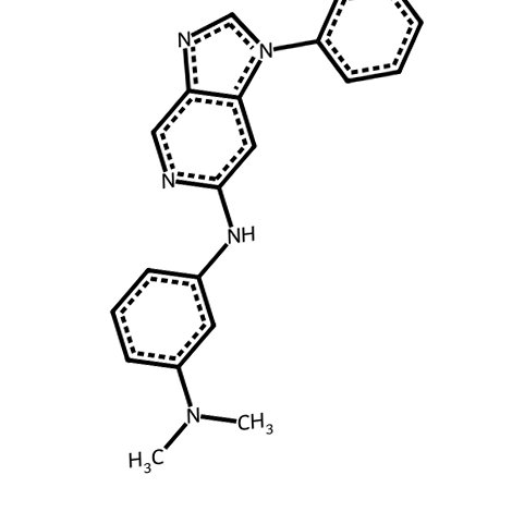 CN(C)c1cccc(Nc2cc3c(cn2)ncn3-c2ccccc2)c1